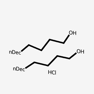 CCCCCCCCCCCCCCO.CCCCCCCCCCCCCCO.Cl